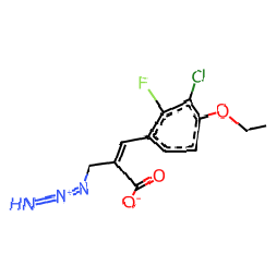 CCOc1ccc(C=C(CN=[N+]=N)C(=O)[O-])c(F)c1Cl